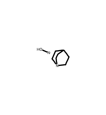 C1CN2CCC1CC2.[N]O